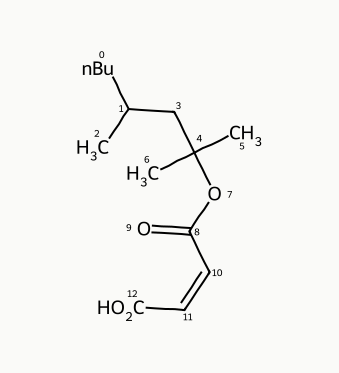 CCCCC(C)CC(C)(C)OC(=O)/C=C\C(=O)O